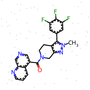 Cn1nc2c(c1-c1cc(F)c(F)c(F)c1)CCN(C(=O)c1cncc3ncccc13)C2